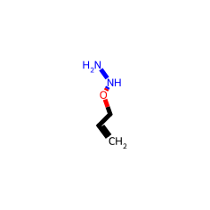 C=CCONN